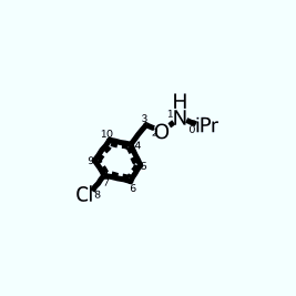 CC(C)NOCc1ccc(Cl)cc1